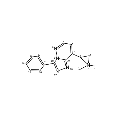 C[N+]1(C)CC1c1ccnn2c(-c3ccccc3)nnc12